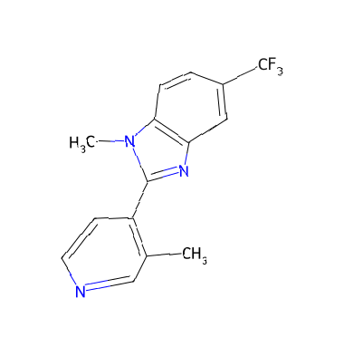 Cc1cnccc1-c1nc2cc(C(F)(F)F)ccc2n1C